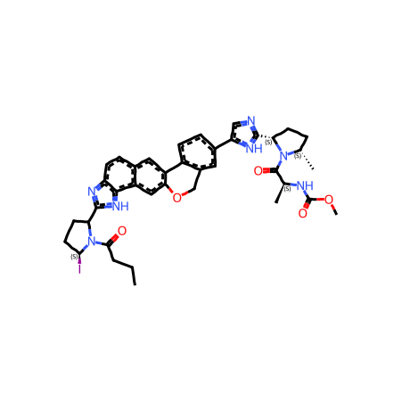 CCCC(=O)N1C(c2nc3ccc4cc5c(cc4c3[nH]2)OCc2cc(-c3cnc([C@@H]4CC[C@H](C)N4C(=O)[C@H](C)NC(=O)OC)[nH]3)ccc2-5)CC[C@@H]1I